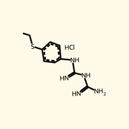 CCSc1ccc(NC(=N)NC(=N)N)cc1.Cl